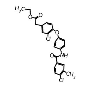 CCOC(=O)Cc1ccc(Oc2ccc(NC(=O)c3ccc(Cl)c(C)c3)cc2)c(Cl)c1